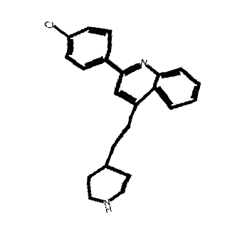 Clc1ccc(-c2cc(CCC3CCNCC3)c3ccccc3n2)cc1